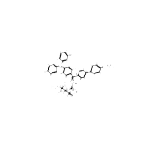 COc1ccc(-c2ccc(C(=O)c3ccc([S+](c4ccccc4)c4ccccc4)cc3)cc2)cc1.O=S(=O)([O-])C(F)(F)C(F)(F)C(F)(F)C(F)(F)F